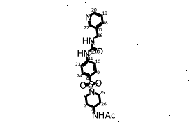 CC(=O)NC1CCN(S(=O)(=O)c2ccc(NC(=O)NCc3cccnc3)cc2)CC1